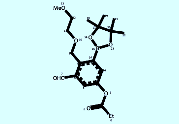 CCC(=O)Oc1cc(C=O)c(COCCOC)c(B2OC(C)(C)C(C)(C)O2)c1